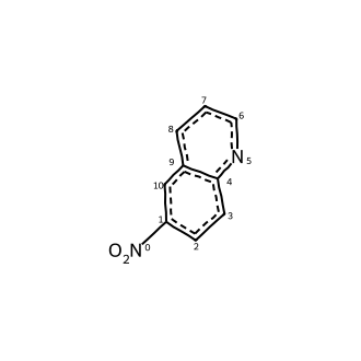 O=[N+]([O-])c1ccc2ncccc2c1